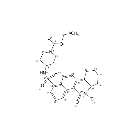 CCOC(=O)N1CCC(NS(=O)(=O)c2cccc3c(C(=O)N(C)C4CCCCC4)cccc23)CC1